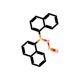 O=POP(c1cccc2ccccc12)c1cccc2ccccc12